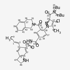 C/C=C/c1cc2c(cc1S(=O)(=O)NC(=O)c1ccc(-n3nc(C(=O)N(CCCC)CCCC)c(Cl)c3C)c(C(=O)N3CCc4ccccc4C3)c1)NCC2